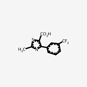 Cc1nc(-c2cccc(C(F)(F)F)c2)c(C(=O)O)s1